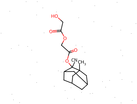 CC12CC3CC(CC(C3)C1(C#N)OC(=O)COC(=O)CO)C2